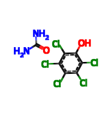 NC(N)=O.Oc1c(Cl)c(Cl)c(Cl)c(Cl)c1Cl